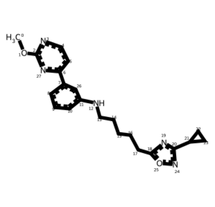 COc1nccc(-c2cccc(NCCCCCc3nc(C4CC4)no3)c2)n1